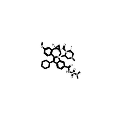 COc1ccc2c(c1)[C@H]1C[C@@]1(C(=O)N1C(C)CN(C)C[C@H]1C)Cn1c-2c(C2CCCCC2)c2ccc(C(=O)NS(=O)(=O)N(C)C)cc21